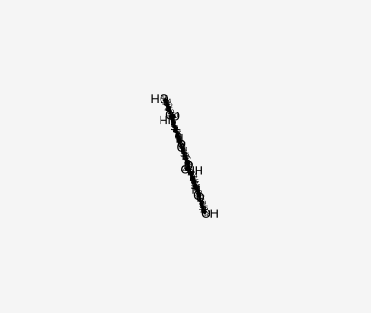 O=C(NCSCCSC/N=C/OOCSCCSCOC(=O)NCSCCSC/N=C/OOCCSCCO)OCCSCCO